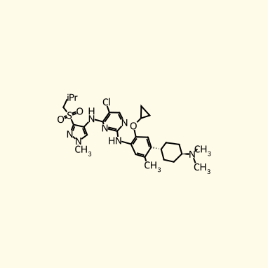 Cc1cc(Nc2ncc(Cl)c(Nc3cn(C)nc3S(=O)(=O)CC(C)C)n2)c(OC2CC2)cc1[C@H]1CC[C@H](N(C)C)CC1